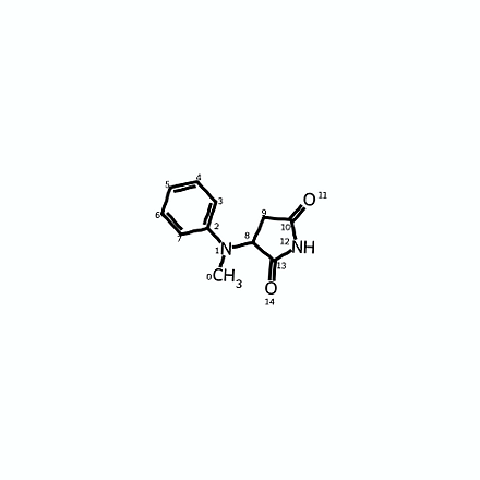 CN(c1ccccc1)C1CC(=O)NC1=O